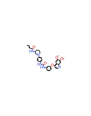 C/C=C/C(=O)NC1CCCN(c2ccc(NC(=O)Nc3cccc(Oc4ccnc5cc(OC)c(OC)cc45)c3)cc2)C1